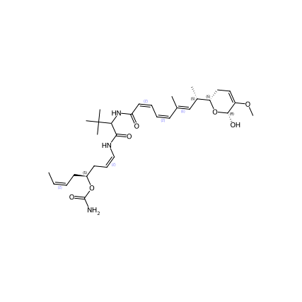 C/C=C\C[C@@H](C/C=C\NC(=O)C(NC(=O)\C=C/C=C\C(C)=C\[C@H](C)[C@@H]1CC=C(OC)[C@H](O)O1)C(C)(C)C)OC(N)=O